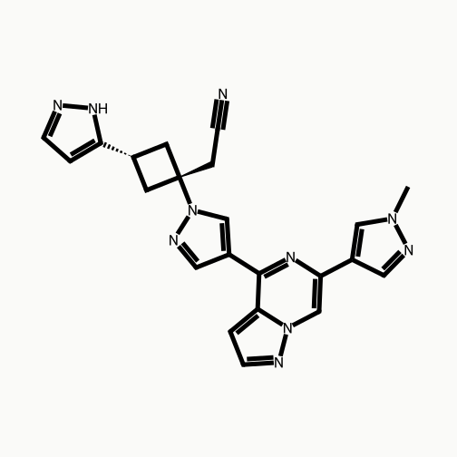 Cn1cc(-c2cn3nccc3c(-c3cnn([C@]4(CC#N)C[C@H](c5ccn[nH]5)C4)c3)n2)cn1